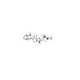 CC[C@@H](NC(=O)c1ccc2c(c1)CN(C1CCC(=O)NC1=O)C2=O)c1ccccc1